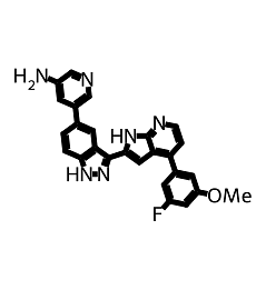 COc1cc(F)cc(-c2ccnc3[nH]c(-c4n[nH]c5ccc(-c6cncc(N)c6)cc45)cc23)c1